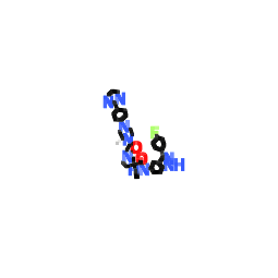 C#CC1(C(=O)Nc2ccc3[nH]nc(-c4ccc(F)cc4)c3c2)CCN(CC(=O)N2CCN(c3ccc(-c4ncccn4)cc3)C[C@H]2C)C1